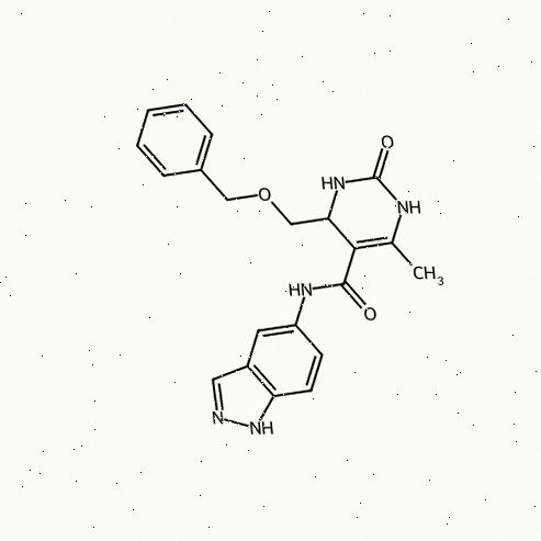 CC1=C(C(=O)Nc2ccc3[nH]ncc3c2)C(COCc2ccccc2)NC(=O)N1